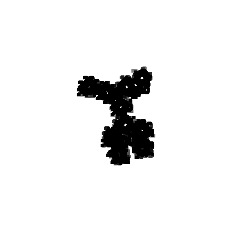 CC1(C)c2ccccc2-c2ccc(N(c3ccc(-c4ccccc4)cc3)c3ccc(-c4cc(-c5cccc6c5OC5C=CC=CC65)cc(-c5cccc6c5oc5ccccc56)c4)cc3)cc21